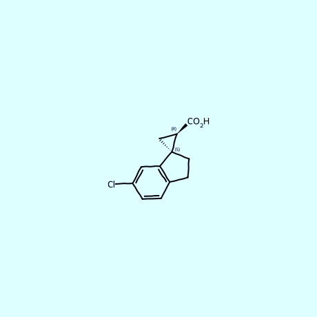 O=C(O)[C@@H]1C[C@@]12CCc1ccc(Cl)cc12